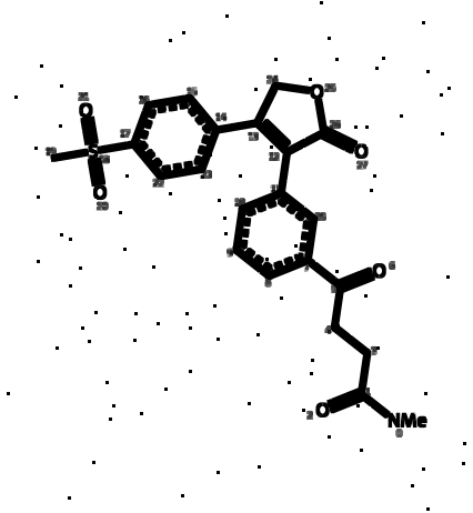 CNC(=O)CCC(=O)c1cccc(C2=C(c3ccc(S(C)(=O)=O)cc3)COC2=O)c1